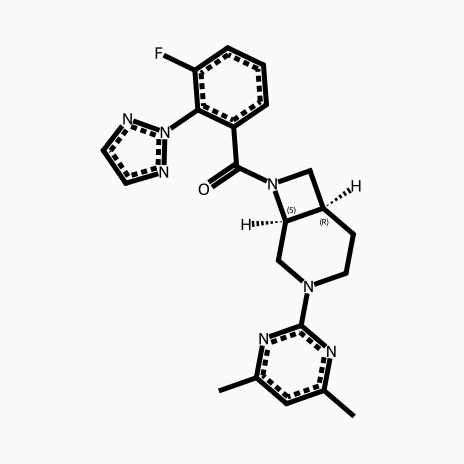 Cc1cc(C)nc(N2CC[C@@H]3CN(C(=O)c4cccc(F)c4-n4nccn4)[C@@H]3C2)n1